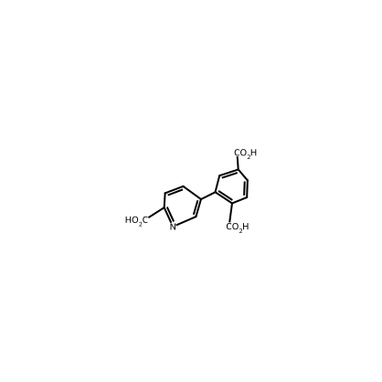 O=C(O)c1ccc(C(=O)O)c(-c2ccc(C(=O)O)nc2)c1